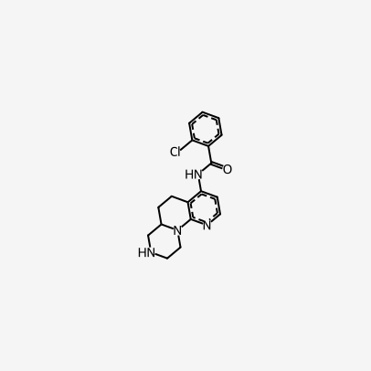 O=C(Nc1ccnc2c1CCC1CNCCN21)c1ccccc1Cl